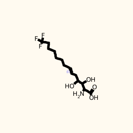 NC(C(=O)O)C(O)C(O)C/C=C/CCCCCCC(F)(F)F